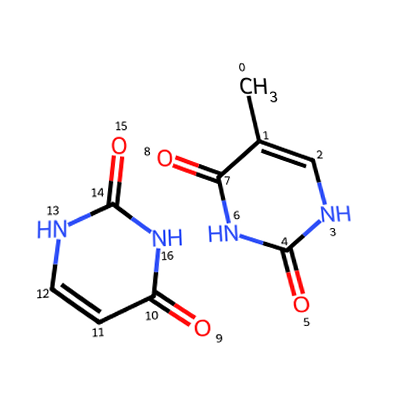 Cc1c[nH]c(=O)[nH]c1=O.O=c1cc[nH]c(=O)[nH]1